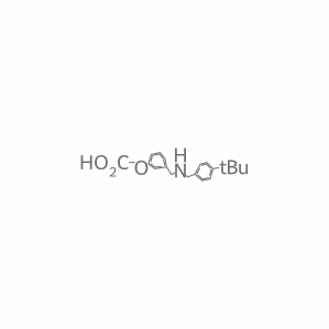 CC(C)(C)c1ccc(CNCc2cccc(OCC(=O)O)c2)cc1